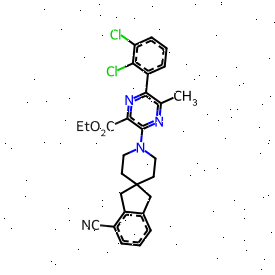 CCOC(=O)c1nc(-c2cccc(Cl)c2Cl)c(C)nc1N1CCC2(CC1)Cc1cccc(C#N)c1C2